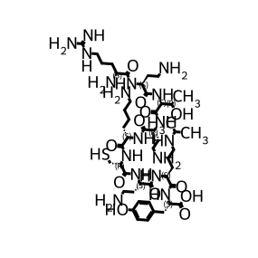 CC(C)NCCC[C@H](NC(=O)[C@H](CCN)NC(=O)[C@H](CS)NC(=O)[C@H](CCCCN)NC(=O)[C@@H](CCN)NC(=O)[C@@H](NC(=O)[C@H](CCN)NC(=O)[C@@H](N)CCCNC(=N)N)[C@@H](C)O)C(=O)N[C@@H](Cc1ccc(O)cc1)C(=O)O